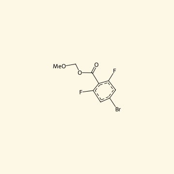 COCOC(=O)c1c(F)cc(Br)cc1F